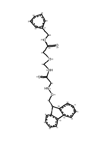 O=C(CNOCC1c2ccccc2-c2ccccc21)NCOCC(=O)OCc1ccccc1